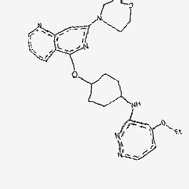 CCOc1ccnnc1NC1CCC(Oc2nc(N3CCOCC3)cc3ncccc23)CC1